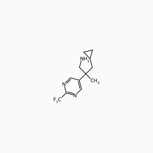 CC(CN)(CC1CC1)c1cnc(C(F)(F)F)nc1